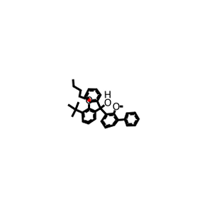 CCCCOc1c(C(C)(C)C)cccc1C(O)(c1ccccc1)c1cccc(-c2ccccc2)c1OC